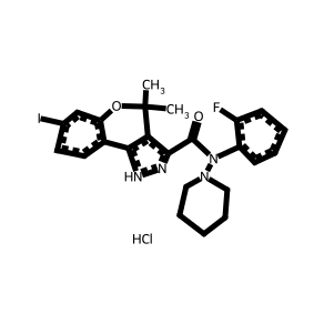 CC1(C)Oc2cc(I)ccc2-c2[nH]nc(C(=O)N(c3ccccc3F)N3CCCCC3)c21.Cl